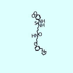 O=C(CCCNC(=S)Nc1ccc2c(c1)OCO2)NCCCOc1cccc(CN2CCCC2)c1